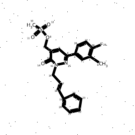 Cc1cc(-c2cc(COS(C)(=O)=O)c(=O)n(CC=Cc3ccccc3)n2)ccc1F